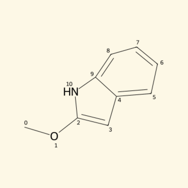 COc1cc2ccccc2[nH]1